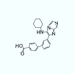 O=C(O)c1ccc(-c2cccc(-c3nc4cnccn4c3NC3CCCCC3)c2)cc1